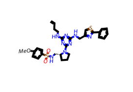 C=CCCNc1nc(NCc2csc(-c3ccccc3)n2)nc(N2CCC[C@@H]2CNS(=O)(=O)c2ccc(OC)cc2)n1